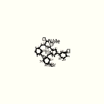 CNC(=O)C(Cc1cccc(Br)c1)NC(=O)c1cc(-c2cccc(Cl)c2)nn1Cc1cccc(Br)c1